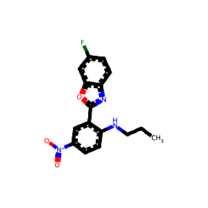 CCCNc1ccc([N+](=O)[O-])cc1-c1nc2ccc(F)cc2o1